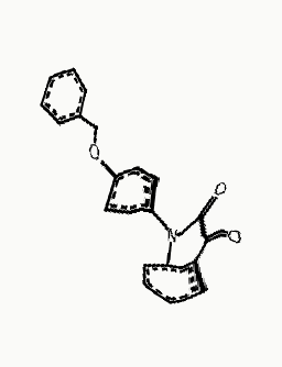 O=C1C(=O)N(c2ccc(OCc3ccccc3)cc2)c2ccccc21